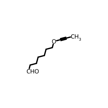 CC#COCCCCCCC=O